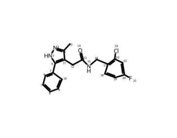 Cc1n[nH]c(-c2ccccc2)c1CC(=O)NCc1ccc(F)cc1Cl